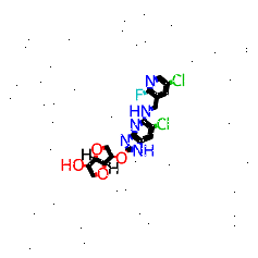 O[C@@H]1CO[C@H]2[C@@H]1OC[C@H]2Oc1nc2nc(NCc3cc(Cl)cnc3F)c(Cl)cc2[nH]1